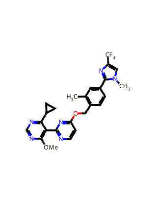 COc1ncnc(C2CC2)c1-c1nccc(OCc2ccc(-c3nc(C(F)(F)F)cn3C)cc2C)n1